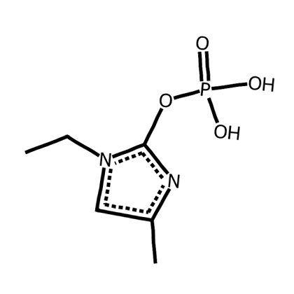 CCn1cc(C)nc1OP(=O)(O)O